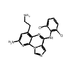 NCCc1cc(N)nc2c1nc(Nc1c(Cl)cccc1Cl)c1cncn12